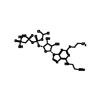 CSCCNc1nc(SCCC(F)(F)F)nc2c1ncn2[C@@H]1O[C@H](OP(=O)(OC(Cl)Cl)OP(=O)(O)CP(=O)(O)O)C(O)C1O